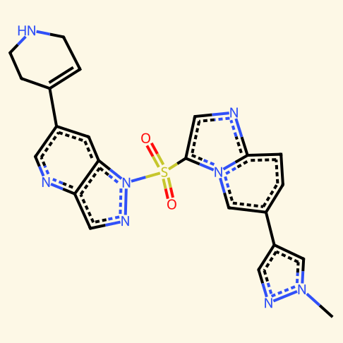 Cn1cc(-c2ccc3ncc(S(=O)(=O)n4ncc5ncc(C6=CCNCC6)cc54)n3c2)cn1